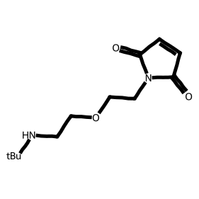 CC(C)(C)NCCOCCN1C(=O)C=CC1=O